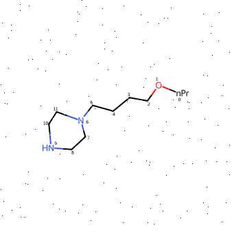 CCCOCCCCN1CCNCC1